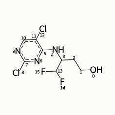 OCCC(Nc1nc(Cl)ncc1Cl)C(F)F